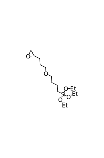 CCO[Si](CCCCOCCCC1CO1)(OCC)OCC